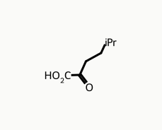 CC(C)CCC(=O)C(=O)O